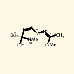 CCC(C)[C@](C)(/C=C\N/N=C(/C)NC)NC